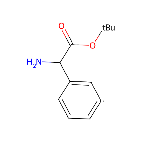 CC(C)(C)OC(=O)C(N)c1c[c]ccc1